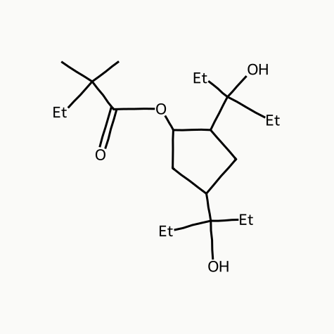 CCC(C)(C)C(=O)OC1CC(C(O)(CC)CC)CC1C(O)(CC)CC